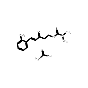 CN(C)C(=S)OCCC(=O)C=Cc1ccccc1[N+](=O)[O-].NC(O)=S